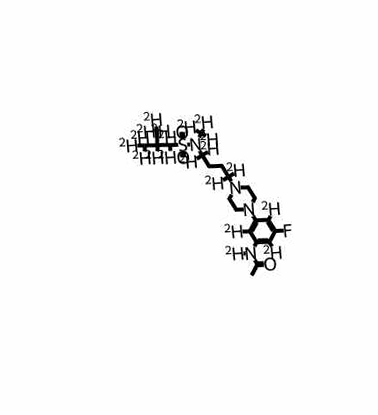 [2H]c1c(F)c([2H])c(N([2H])C(C)=O)c([2H])c1N1CCN(C([2H])([2H])CCC([2H])([2H])N(C([2H])([2H])[2H])S(=O)(=O)C([2H])([2H])C([2H])(C([2H])([2H])[2H])C([2H])([2H])[2H])CC1